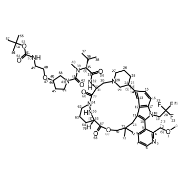 CO[C@@H](C)c1ncccc1-c1c2c3cc(ccc3n1CC(F)(F)F)[C@@H]1CCCN(C1)C[C@H](NC(=O)[C@H](C(C)C)N(C)C(=O)N1CC[C@@H](OCCNC(=O)OC(C)(C)C)C1)C(=O)N1CCC[C@H](N1)C(=O)OCC(C)(C)C2